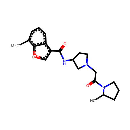 COc1cccc2c(C(=O)NC3CCN(CC(=O)N4CCCC4C#N)C3)coc12